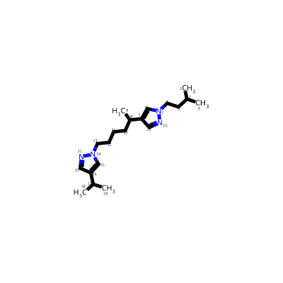 CC(C)CCn1cc(C(C)CCCCn2cc(C(C)C)cn2)cn1